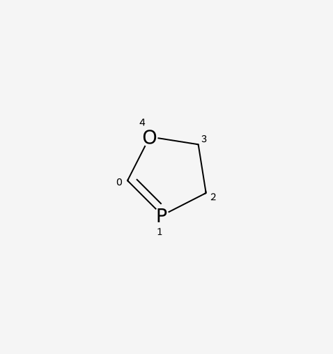 C1=PCCO1